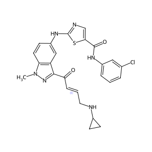 Cn1nc(C(=O)/C=C/CNC2CC2)c2cc(Nc3ncc(C(=O)Nc4cccc(Cl)c4)s3)ccc21